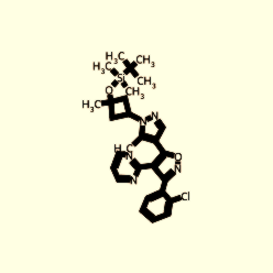 Cc1c(-c2onc(-c3ccccc3Cl)c2-c2ncccn2)cnn1C1CC(C)(O[Si](C)(C)C(C)(C)C)C1